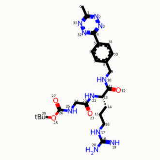 Cc1nnc(-c2ccc(CNC(=O)[C@H](CCCNC(=N)N)NC(=O)CNC(=O)OC(C)(C)C)cc2)nn1